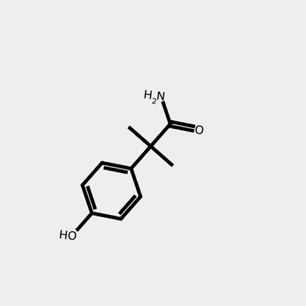 CC(C)(C(N)=O)c1ccc(O)cc1